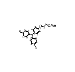 COCCOc1ccc(N(c2ccc(C)cc2)c2ccc(C)cc2)cc1